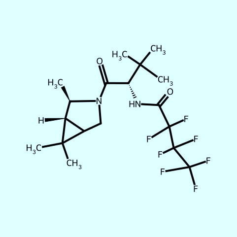 C[C@@H]1[C@@H]2C(CN1C(=O)[C@@H](NC(=O)C(F)(F)C(F)(F)C(F)(F)F)C(C)(C)C)C2(C)C